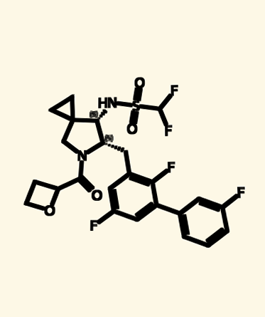 O=C(C1CCO1)N1CC2(CC2)[C@H](NS(=O)(=O)C(F)F)[C@@H]1Cc1cc(F)cc(-c2cccc(F)c2)c1F